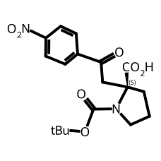 CC(C)(C)OC(=O)N1CCC[C@]1(CC(=O)c1ccc([N+](=O)[O-])cc1)C(=O)O